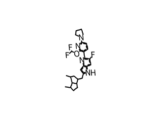 CC1CCC2C(Cc3cc4nc(-c5ccc(N6CCCC6)nc5OC(F)F)c(F)cc4[nH]3)CC(C)C12